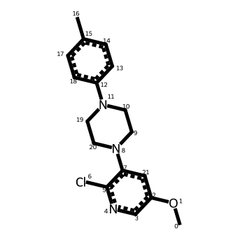 COc1cnc(Cl)c(N2CCN(c3ccc(C)cc3)CC2)c1